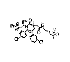 CC(C)C(CS(=O)(=O)C(C)C)N1C(=O)[C@@](C)(CC(=O)NCCC[SH](C)(C)=O)C[C@H](c2cccc(Cl)c2)[C@H]1c1ccc(Cl)cc1